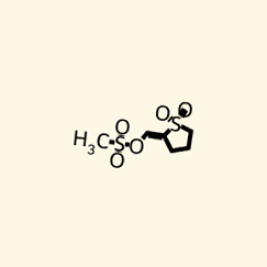 CS(=O)(=O)O/C=C1\CCCS1(=O)=O